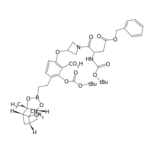 CC(C)(C)OC(=O)NC(CC(=O)OCc1ccccc1)C(=O)N1CC(Oc2ccc(CCB3O[C@@H]4C[C@@H]5C[C@@H](C5(C)C)[C@]4(C)O3)c(OC(=O)OC(C)(C)C)c2C(=O)O)C1